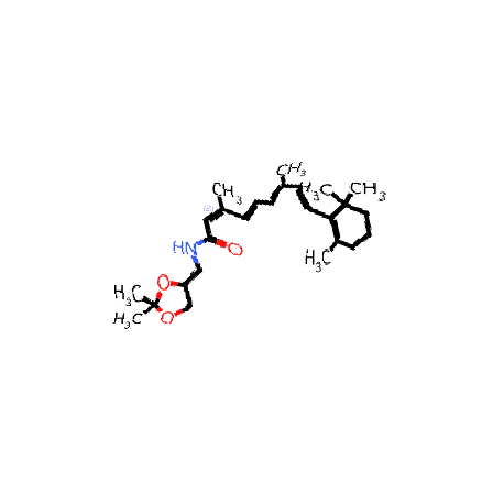 CC(C=CC1=C(C)CCCC1(C)C)=CC=C/C(C)=C\C(=O)NCC1COC(C)(C)O1